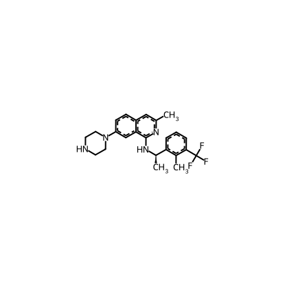 Cc1cc2ccc(N3CCNCC3)cc2c(N[C@H](C)c2cccc(C(F)(F)F)c2C)n1